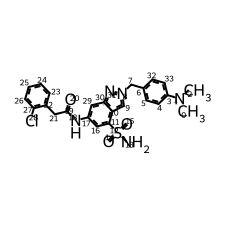 CN(C)c1ccc(Cn2cc3c(S(N)(=O)=O)cc(NC(=O)Cc4ccccc4Cl)cc3n2)cc1